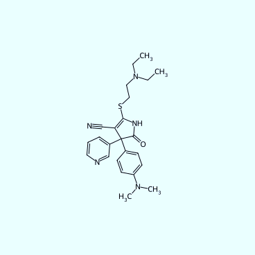 CCN(CC)CCSC1=C(C#N)C(c2ccc(N(C)C)cc2)(c2cccnc2)C(=O)N1